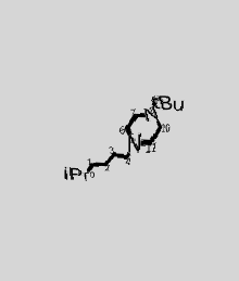 CC(C)CCCCN1CCN(C(C)(C)C)CC1